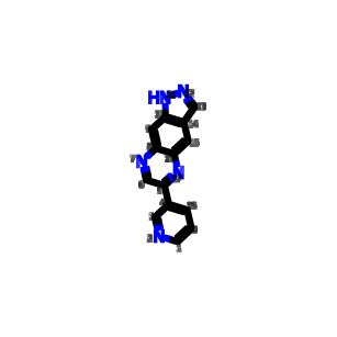 c1cncc(-c2cnc3cc4[nH]ncc4cc3n2)c1